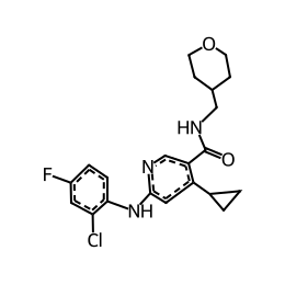 O=C(NCC1CCOCC1)c1cnc(Nc2ccc(F)cc2Cl)cc1C1CC1